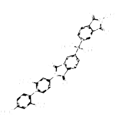 Cc1ccc(-c2ccc(N3C(=O)c4ccc(C(C)(C)c5ccc6c(c5)C(=O)N(C)C6=O)cc4C3=O)cc2C)c(C)c1